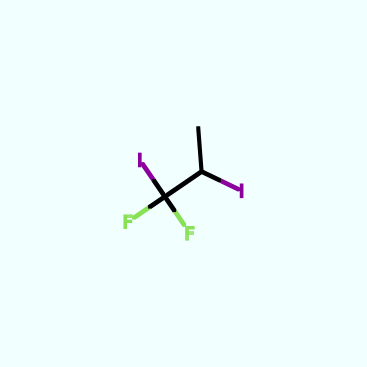 CC(I)C(F)(F)I